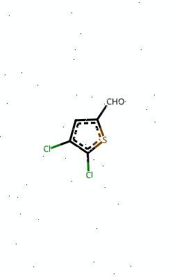 O=[C]c1cc(Cl)c(Cl)s1